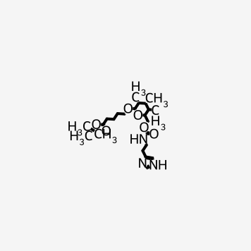 CC1C(COC(=O)NCCc2c[nH]cn2)OC(OCCCCC(=O)OC(C)(C)C)C(C)C1C